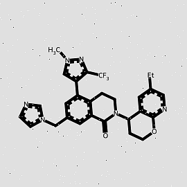 CCc1cnc2c(c1)C(N1CCc3c(cc(Cn4ccnc4)cc3-c3cn(C)nc3C(F)(F)F)C1=O)CCO2